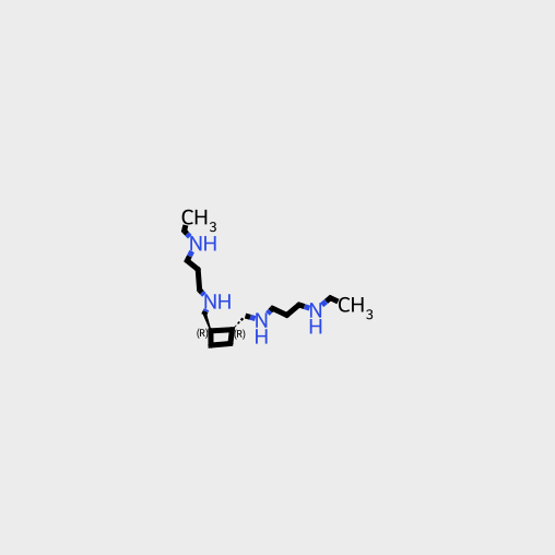 CCNCCCNC[C@@H]1CC[C@H]1CNCCCNCC